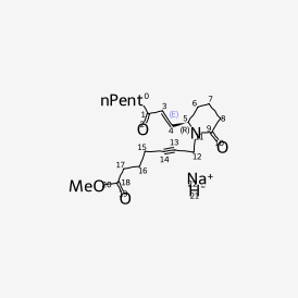 CCCCCC(=O)/C=C/[C@H]1CCCC(=O)N1CC#CCCCC(=O)OC.[H-].[Na+]